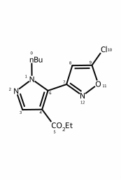 CCCCn1ncc(C(=O)OCC)c1-c1cc(Cl)on1